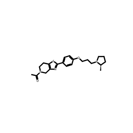 CC(=O)N1CCc2sc(-c3ccc(OCCCN4CCC[C@H]4C)cc3)nc2C1